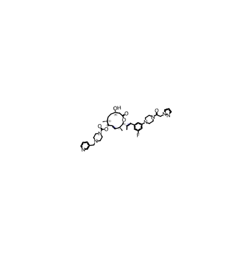 C/C(=C\c1cc(F)cc(N2CCN(C(=O)Cn3cccn3)CC2)c1)[C@H]1OC(=O)C[C@H](O)CC[C@H](C)[C@@H](OC(=O)N2CCN(Cc3cccnc3)CC2)/C=C/[C@@H]1C